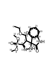 CCOC(=O)C1C(P(=O)(OC)OC)=NNC12C(=O)Nc1ccccc12